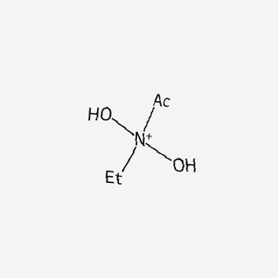 [CH2]C(=O)[N+](O)(O)CC